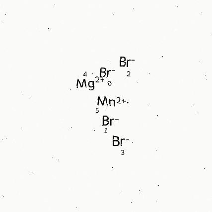 [Br-].[Br-].[Br-].[Br-].[Mg+2].[Mn+2]